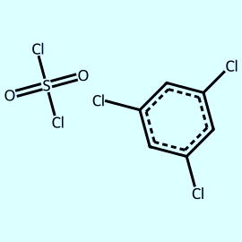 Clc1cc(Cl)cc(Cl)c1.O=S(=O)(Cl)Cl